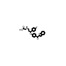 CN(CCC(Oc1ccc(C(=O)c2cc3ccccc3s2)cc1)c1ccc(F)cc1)CC(=O)O